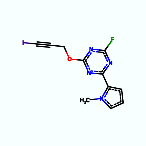 Cn1cccc1-c1nc(F)nc(OCC#CI)n1